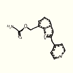 NC(=O)OCc1cccc2cc(-c3ccncc3)oc12